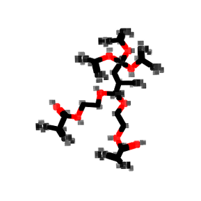 C=C(C)O[Si](CC(C)[SiH](OCCOC(=O)C(=C)C)OCCOC(=O)C(=C)C)(OC(=C)C)OC(=C)C